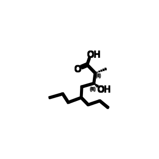 CCCC(CCC)C[C@@H](O)[C@@H](C)C(=O)O